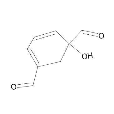 O=CC1=CC=CC(O)(C=O)C1